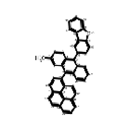 Cc1ccc2c(c1)C(c1ccc3ccc4cccc5ccc1c3c45)=C1C=CC=CC1C2c1ccc2oc3ccccc3c2c1